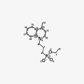 CCOP(=O)([O-])CCC[n+]1ccc(C)c2ccccc21